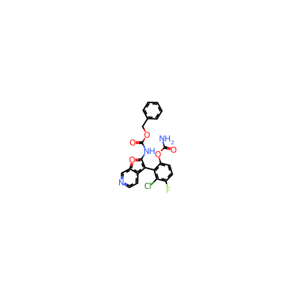 NC(=O)Oc1ccc(F)c(Cl)c1-c1c(NC(=O)OCc2ccccc2)oc2cnccc12